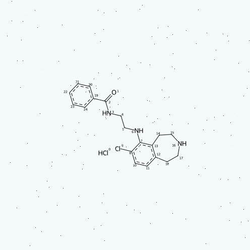 Cl.O=C(NCCNc1c(Cl)ccc2c1CCNCC2)c1ccccc1